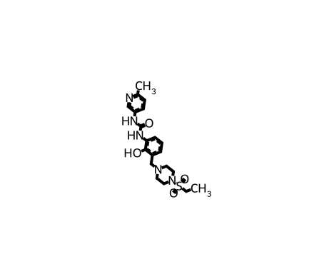 CCS(=O)(=O)N1CCN(Cc2cccc(NC(=O)Nc3ccc(C)nc3)c2O)CC1